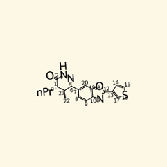 CCC[C@@H]1C(=O)NN=C(c2ccc3nc(-c4ccsc4)oc3c2)[C@H]1C